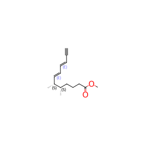 C#C/C=C/C=C/[C@@H](C)[C@@H](C)CCCC(=O)OC